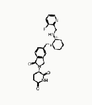 O=C1CCC(N2Cc3cc(C[C@H]4CCCC[C@@H]4NCc4ncccc4F)ccc3C2=O)C(=O)N1